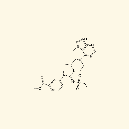 CCS(=O)(=O)N=C(Nc1cccc(C(=O)OC)c1)N1CCN(c2ncnc3[nH]cc(C)c23)CC1C